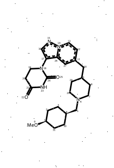 CO[C@H]1CC[C@@H](CN2CCC(Cc3ccn4ncc(N5CCC(=O)NC5=O)c4c3)CC2)CC1